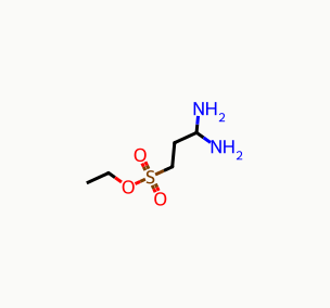 CCOS(=O)(=O)CCC(N)N